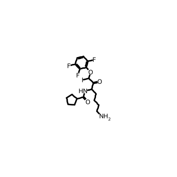 NCCCCC(NC(=O)C1CCCC1)C(=O)C(I)Oc1c(F)ccc(F)c1F